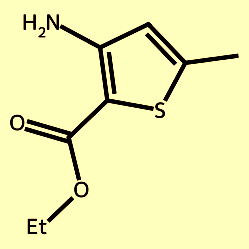 CCOC(=O)c1sc(C)cc1N